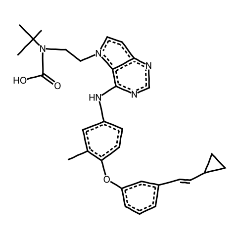 Cc1cc(Nc2ncnc3ccn(CCN(C(=O)O)C(C)(C)C)c23)ccc1Oc1cccc(C=CC2CC2)c1